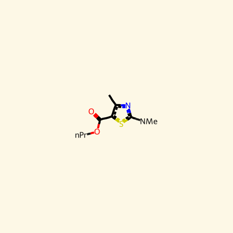 CCCOC(=O)c1sc(NC)nc1C